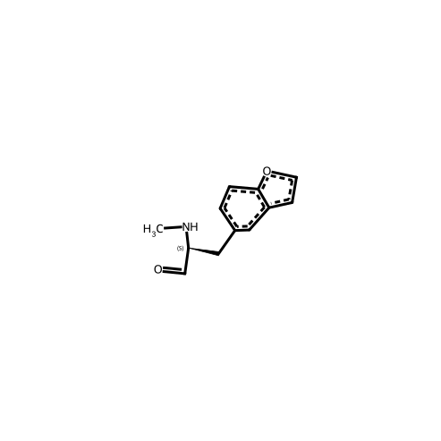 CN[C@H](C=O)Cc1ccc2occc2c1